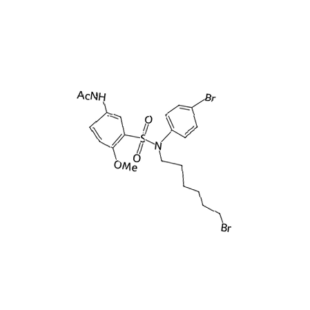 COc1ccc(NC(C)=O)cc1S(=O)(=O)N(CCCCCCBr)c1ccc(Br)cc1